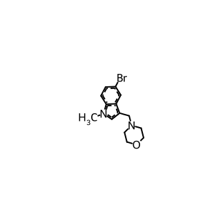 Cn1cc(CN2CCOCC2)c2cc(Br)ccc21